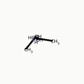 CCCCCCCCCCCCC/C=C/[C@@H](O)[C@H](CO)NC(=O)C(O)CCCCCCCCCCCCCCCC